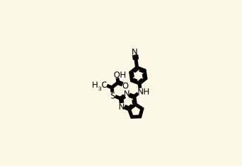 CC(Sc1nc2c(c(Nc3ccc(C#N)cc3)n1)CCC2)C(=O)O